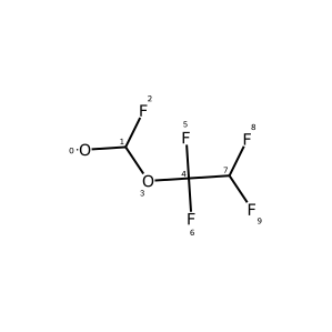 [O]C(F)OC(F)(F)C(F)F